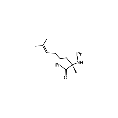 CC(C)=CCCC[C@](C)(NC(C)C)C(=O)C(C)C